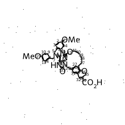 COc1ccc(CN(Cc2ccc(OC)cc2)c2nc3nc4c2[nH]c(=O)n4Cc2cc(c4c(c2)CC(C(=O)O)CO4)CCCCCO3)cc1